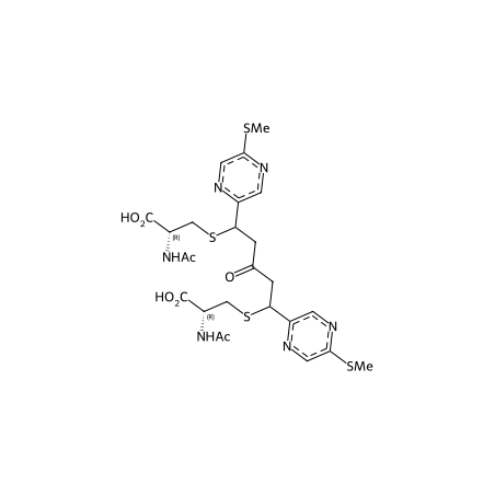 CSc1cnc(C(CC(=O)CC(SC[C@H](NC(C)=O)C(=O)O)c2cnc(SC)cn2)SC[C@H](NC(C)=O)C(=O)O)cn1